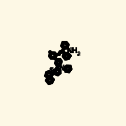 CC1C=CC(c2ccc3c(c2)c2c4sc5ccc6ccccc6c5c4ccc2n3-c2ccccc2)=C(C/C=C(/c2ccccc2)c2ccccc2N)C1